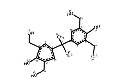 OCc1cc(C(c2cc(CO)c(O)c(CO)c2)(C(F)(F)F)C(F)(F)F)cc(CO)c1O